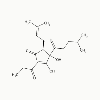 CCC(=O)C1=C(O)C(O)(C(=O)CCC(C)C)[C@H](CC=C(C)C)C1=O